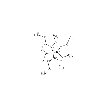 CC[N](CCN)[Ti]([CH](C)C)([N](CC)CCN)[N](CC)CCN